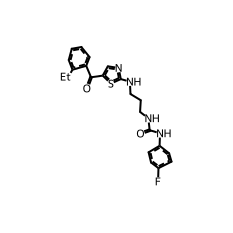 CCc1ccccc1C(=O)c1cnc(NCCCNC(=O)Nc2ccc(F)cc2)s1